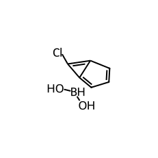 Clc1c2cccc1-2.OBO